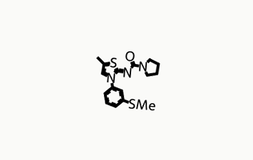 CSc1cccc(-n2cc(C)sc2=NC(=O)N2CCCC2)c1